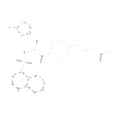 CC(=O)OCCC1CCN(C(=O)[C@H](Cc2nc(I)[nH]c2I)NS(=O)(=O)c2cccc3cc(C)cnc23)CC1